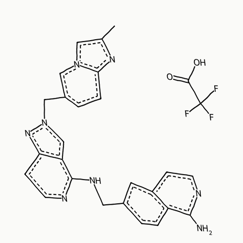 Cc1cn2cc(Cn3cc4c(NCc5ccc6c(N)nccc6c5)nccc4n3)ccc2n1.O=C(O)C(F)(F)F